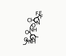 CCC(=O)Nc1cc(C(=O)NC[C@H](C)Oc2ncc(C(F)(F)F)cc2Cl)cc(C)n1